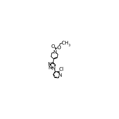 CCOC(=O)N1CC=C(c2cn(-c3cccnc3Cl)nn2)CC1